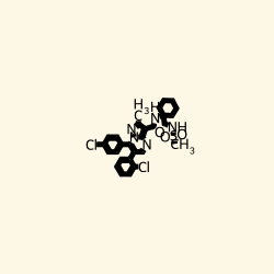 Cc1nn2c(-c3ccc(Cl)cc3)c(-c3ccccc3Cl)cnc2c1C(=O)NC1(CNS(C)(=O)=O)CCCCC1